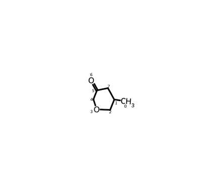 CC1COCC(=O)C1